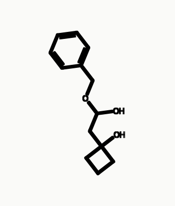 OC(CC1(O)CCC1)OCc1ccccc1